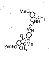 CCCC(C)Oc1ccc(C(=O)Nc2ccc3nc(SCC(=O)NC(C)c4ccc(OC)cc4)sc3c2)c(OC)c1C